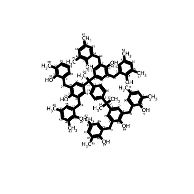 Cc1cc(C)c(O)c(Cc2cc(C(C)(C)c3ccc(C(C)(c4cc(Cc5cccc(C)c5O)c(O)c(Cc5cc(C)cc(C)c5O)c4)c4cc(Cc5cc(C)cc(C)c5O)c(O)c(Cc5cc(C)cc(C)c5O)c4)cc3)cc(Cc3cc(C)cc(C)c3O)c2O)c1